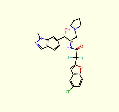 Cn1ncc2ccc([C@H](O)[C@@H](CN3CCCC3)NC(=O)C(F)(F)c3cc4cc(Cl)ccc4o3)cc21